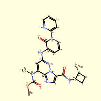 CO[C@@H]1CC[C@H]1NC(=O)c1cnc2c(N(C)C(=O)OC(C)(C)C)cc(Nc3cccn(-c4ccccn4)c3=O)nn12